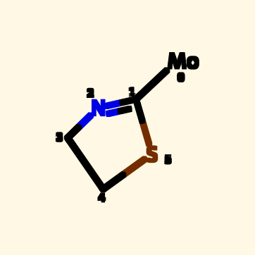 [Mo][C]1=NCCS1